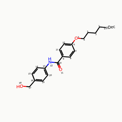 CCCCCCCCCCCCCCOc1ccc(C(=O)Nc2ccc(CO)cc2)cc1